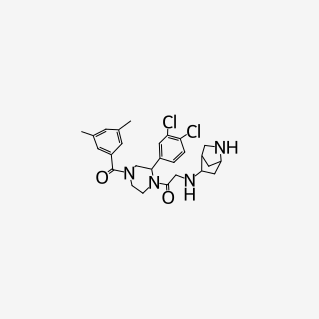 Cc1cc(C)cc(C(=O)N2CCN(C(=O)CNC3CC4CC3CN4)C(c3ccc(Cl)c(Cl)c3)C2)c1